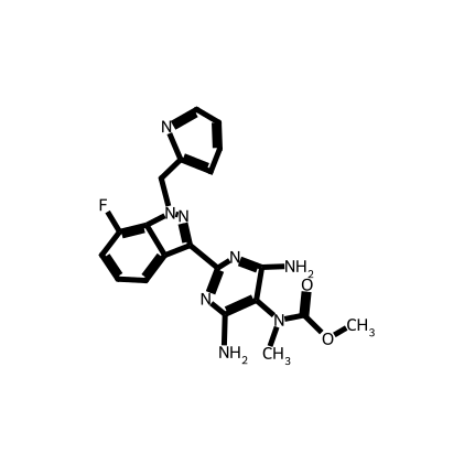 COC(=O)N(C)c1c(N)nc(-c2nn(Cc3ccccn3)c3c(F)cccc23)nc1N